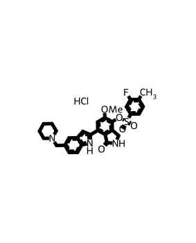 COc1cc(-c2cc3cc(CN4CCCCC4)ccc3[nH]2)c2c(c1OS(=O)(=O)c1ccc(C)c(F)c1)CNC2=O.Cl